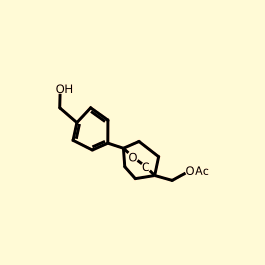 CC(=O)OCC12CCC(c3ccc(CO)cc3)(CC1)OC2